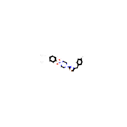 CCCc1ccc(Cc2csc(N3CCN(S(=O)(=O)c4ccc(OC)c(OC)c4)CC3)n2)cc1